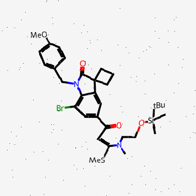 COc1ccc(CN2C(=O)C3(CCC3)c3cc(C(=O)C=C(SC)N(C)CCO[Si](C)(C)C(C)(C)C)cc(Br)c32)cc1